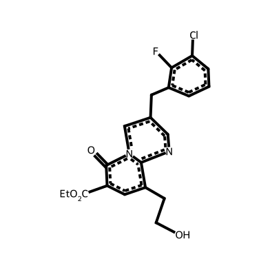 CCOC(=O)c1cc(CCO)c2ncc(Cc3cccc(Cl)c3F)cn2c1=O